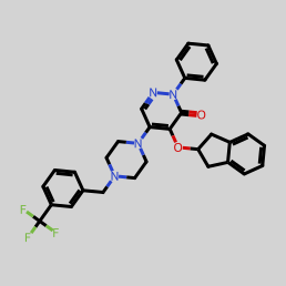 O=c1c(OC2Cc3ccccc3C2)c(N2CCN(Cc3cccc(C(F)(F)F)c3)CC2)cnn1-c1ccccc1